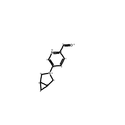 O=Cc1ccc(N2CC3CC3C2)cn1